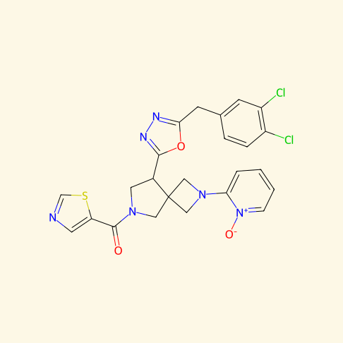 O=C(c1cncs1)N1CC(c2nnc(Cc3ccc(Cl)c(Cl)c3)o2)C2(C1)CN(c1cccc[n+]1[O-])C2